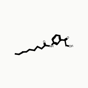 CCCCCCCCC(=O)Nc1cccc(C(=O)CO)c1